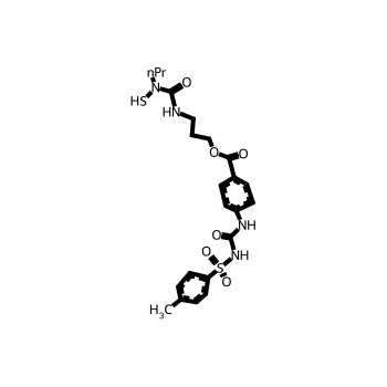 CCCN(S)C(=O)NCCCOC(=O)c1ccc(NC(=O)NS(=O)(=O)c2ccc(C)cc2)cc1